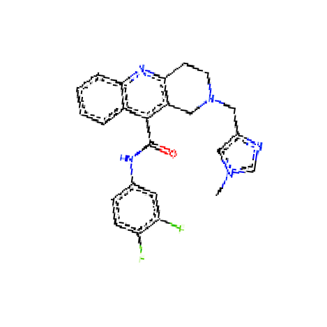 Cn1cnc(CN2CCc3nc4ccccc4c(C(=O)Nc4ccc(F)c(F)c4)c3C2)c1